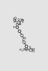 Cn1nc(N2CCC(=O)NC2=O)c2ccc(N3CCN(CC(=O)N4CCN(c5ccc(-c6cc(F)c7c(c6)C(=O)N(C(C(=O)Nc6nccs6)c6ncn8c6CCC8)C7)cc5)CC4)CC3)cc21